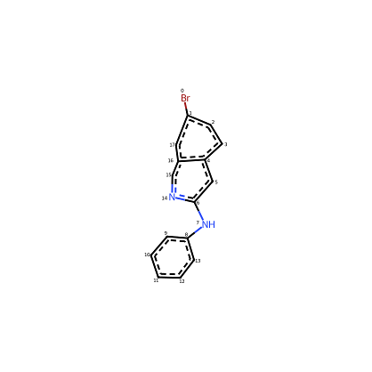 Brc1ccc2cc(Nc3ccccc3)ncc2c1